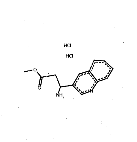 COC(=O)CC(N)c1cnc2ccccc2c1.Cl.Cl